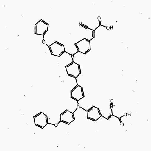 [C-]#[N+]/C(=C\c1ccc(N(c2ccc(Oc3ccccc3)cc2)c2ccc(-c3ccc(N(c4ccc(/C=C(\C#N)C(=O)O)cc4)c4ccc(Oc5ccccc5)cc4)cc3)cc2)cc1)C(=O)O